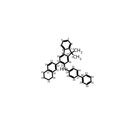 CC1(C)c2ccccc2-c2cc(-c3ccc4c(c3)CCCC4)c(Nc3ccc(-c4ccccc4)cc3)cc21